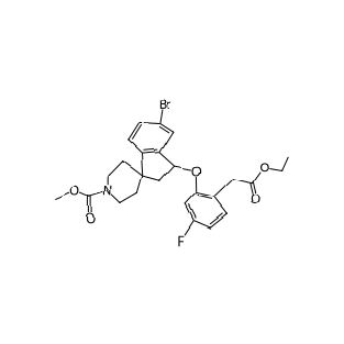 CCOC(=O)Cc1ccc(F)cc1OC1CC2(CCN(C(=O)OC)CC2)c2ccc(Br)cc21